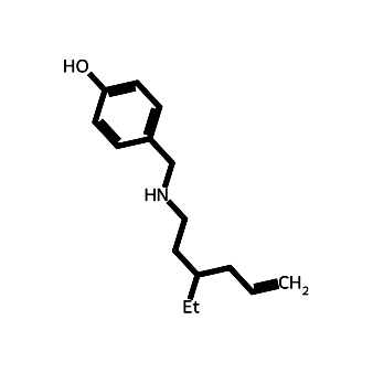 C=CCC(CC)CCNCc1ccc(O)cc1